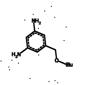 CCC(C)OCc1cc(N)cc(N)c1